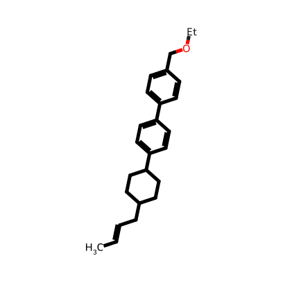 CC=CCC1CCC(c2ccc(-c3ccc(COCC)cc3)cc2)CC1